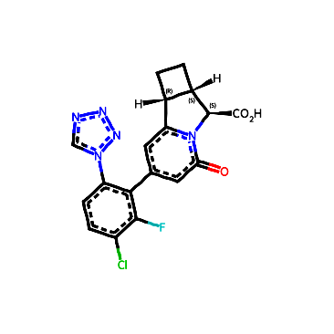 O=C(O)[C@@H]1[C@H]2CC[C@H]2c2cc(-c3c(-n4cnnn4)ccc(Cl)c3F)cc(=O)n21